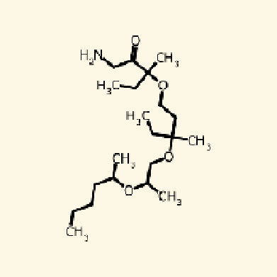 CCCCC(C)OC(C)COC(C)(CC)CCOC(C)(CC)C(=O)CN